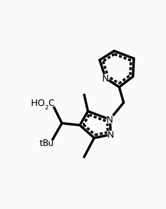 Cc1nn(Cc2ccccn2)c(C)c1C(C(=O)O)C(C)(C)C